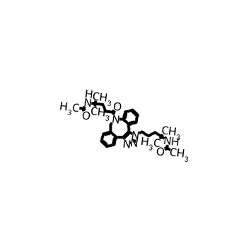 CC(=O)NC(C)(C)CCCn1nnc2c1-c1ccccc1N(C(=O)CCC(C)(C)NC(C)=O)Cc1ccccc1-2